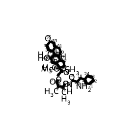 CO[C@]1(C(=O)COC(=O)C(C)C(C)ONC(=O)C(N)Cc2ccccc2)[C@H](C)C[C@H]2[C@@H]3CCC4=CC(=O)C=C[C@]4(C)[C@@]3(F)[C@@H](O)C[C@@]21C